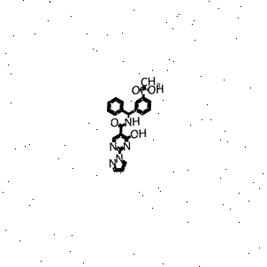 CP(=O)(O)c1cccc([C@@H](NC(=O)c2cnc(-n3cccn3)nc2O)c2ccccc2)c1